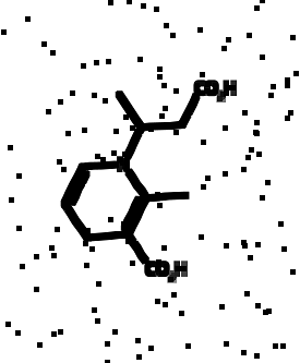 CC1=C(C(=O)O)CC=CN1C(C)CC(=O)O